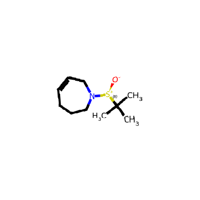 CC(C)(C)[S@+]([O-])N1CC=CCCC1